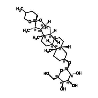 CC1CC[C@@]2(OC1)O[C@H]1C[C@H]3[C@@H]4CC[C@@H]5C[C@@H](O[C@@H]6O[C@H](CO)[C@H](O)[C@H](O)[C@H]6O)CC[C@]5(C)[C@H]4CC[C@]3(C)[C@H]1[C@@H]2C